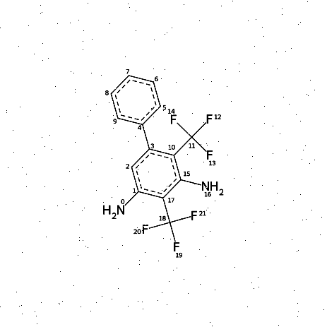 Nc1cc(-c2ccccc2)c(C(F)(F)F)c(N)c1C(F)(F)F